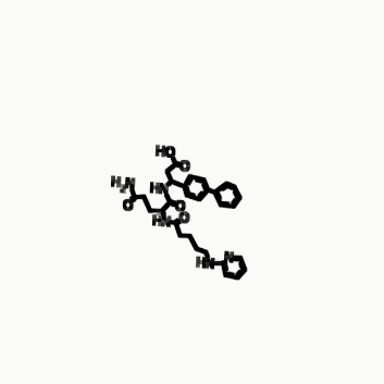 NC(=O)CC[C@H](NC(=O)CCCCNc1ccccn1)C(=O)NC(CC(=O)O)c1ccc(-c2ccccc2)cc1